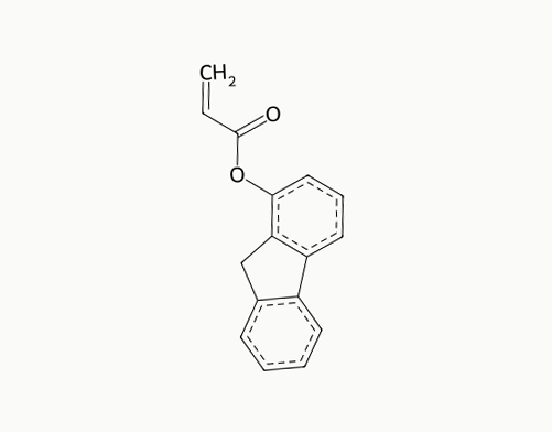 C=CC(=O)Oc1cccc2c1Cc1ccccc1-2